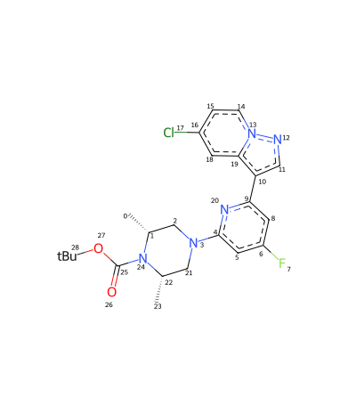 C[C@@H]1CN(c2cc(F)cc(-c3cnn4ccc(Cl)cc34)n2)C[C@H](C)N1C(=O)OC(C)(C)C